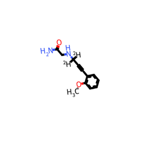 [2H]C([2H])(C#Cc1ccccc1OC)NCC(N)=O